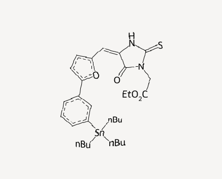 CCC[CH2][Sn]([CH2]CCC)([CH2]CCC)[c]1cccc(-c2ccc(C=C3NC(=S)N(CC(=O)OCC)C3=O)o2)c1